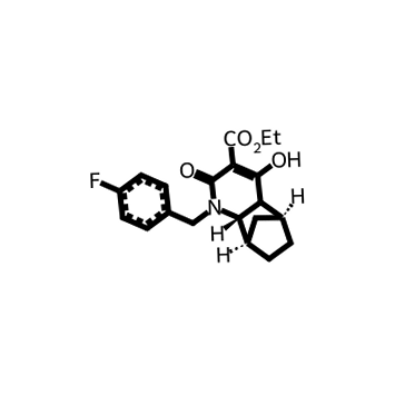 CCOC(=O)C1=C(O)C2[C@H]3CC[C@H](C3)[C@@H]2N(Cc2ccc(F)cc2)C1=O